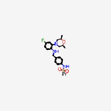 CC1CN(c2cc(F)ccc2NCc2ccc(NS(=O)(=O)C(C)C)cc2)CC(C)O1